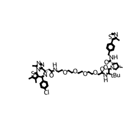 Cc1ncsc1-c1ccc(CNC(=O)[C@@H]2C[C@@H](C)CN2C(=O)C(NC(=O)COCCOCCOCCOCCNC(=O)C[C@@H]2N=C(c3ccc(Cl)cc3)c3c(sc(C)c3C)-n3c(C)nnc32)C(C)(C)C)cc1